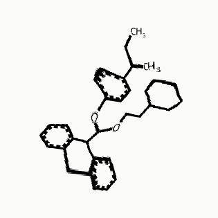 CCC(C)c1ccc(OC(OCCC2CCCCC2)C2c3ccccc3Cc3ccccc32)cc1